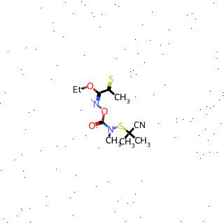 CCOC(=NOC(=O)N(C)SC(C)(C)C#N)C(C)=S